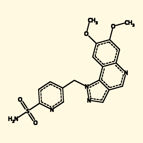 COc1cc2ncc3cnn(Cc4ccc(S(N)(=O)=O)nc4)c3c2cc1OC